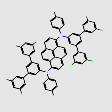 CCc1ccc(N(c2cc(-c3cc(F)cc(F)c3)cc(-c3cc(F)cc(F)c3)c2)c2ccc3ccc4c(N(c5ccc(CC)cc5)c5cc(-c6cc(F)cc(F)c6)cc(-c6cc(F)cc(F)c6)c5)ccc5ccc2c3c54)cc1